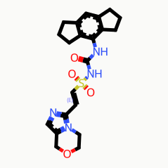 O=C(Nc1c2c(cc3c1CCC3)CCC2)NS(=O)(=O)/C=C/c1ncc2n1CCOC2